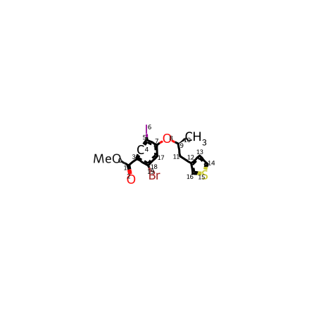 COC(=O)c1cc(I)c(O[C@@H](C)Cc2ccsc2)cc1Br